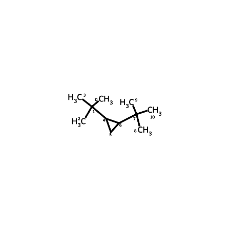 CC(C)(C)C1CC1C(C)(C)C